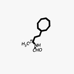 C[C@H](CCC1CCCCCCC1)NC=O